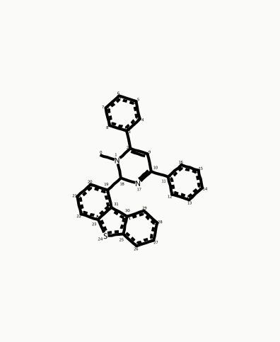 CN1C(c2ccccc2)=CC(c2ccccc2)=NC1c1cccc2sc3ccccc3c12